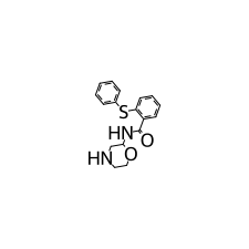 O=C(NC1CNCCO1)c1ccccc1Sc1ccccc1